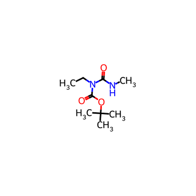 CCN(C(=O)NC)C(=O)OC(C)(C)C